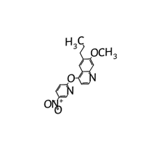 CCCc1cc2c(Oc3ccc([N+](=O)[O-])cn3)ccnc2cc1OC